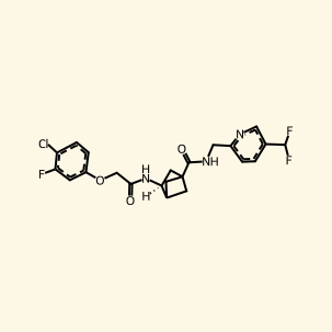 O=C(COc1ccc(Cl)c(F)c1)N[C@H]1CC2(C(=O)NCc3ccc(C(F)F)cn3)CC1C2